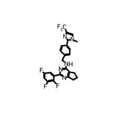 Cn1cc(C(F)(F)F)nc1-c1ccc(CNc2nc(-c3cc(F)cc(F)c3F)nc3c2CCC3)cc1